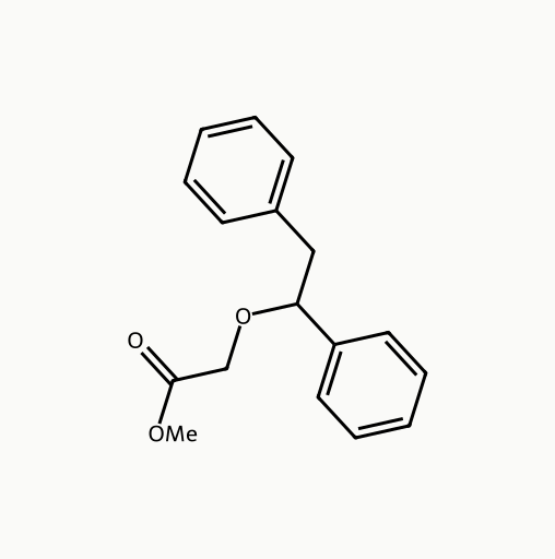 COC(=O)COC(Cc1ccccc1)c1ccccc1